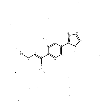 OC/C=C(\F)c1ccc(-c2nccs2)cc1